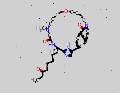 CCC(=O)CCCCC[C@@H]1NC(=O)CN(C)CCCCOCCCCn2ccc3cc(ccc3c2=O)-c2cnc1[nH]2